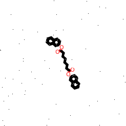 O=C(CCCCCCC(=O)Oc1ccc2ccccc2c1)Oc1ccc2ccccc2c1